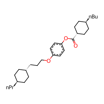 CCCC[C@H]1CC[C@H](C(=O)Oc2ccc(OCCC[C@H]3CC[C@H](CCC)CC3)cc2)CC1